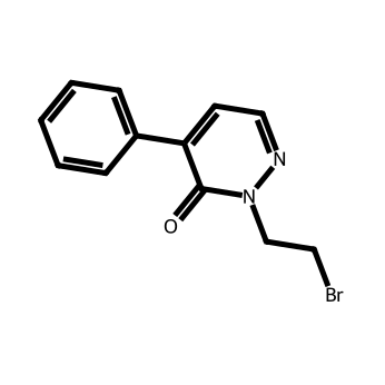 O=c1c(-c2ccccc2)ccnn1CCBr